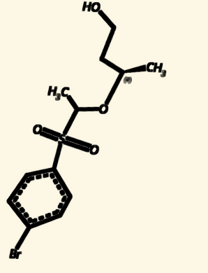 CC(O[C@H](C)CCO)S(=O)(=O)c1ccc(Br)cc1